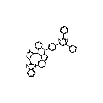 C1=CC2=CC3(C=CC4=C(c5ccc(-c6cc(-c7ccccc7)nc(-c7ccccc7)n6)cc5)c5ccccc5C(C5=CC(CC=N5)c5nc6ccccc6n52)C43)C1